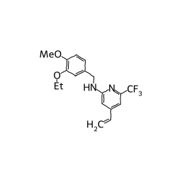 C=Cc1cc(NCc2ccc(OC)c(OCC)c2)nc(C(F)(F)F)c1